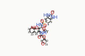 CC(C)OC(NS(=O)(=O)c1ccc2[nH]c(=O)[nH]c2c1)[C@H](O)[C@H](Cc1ccccc1)NC(=O)O[C@H]1CCOC1